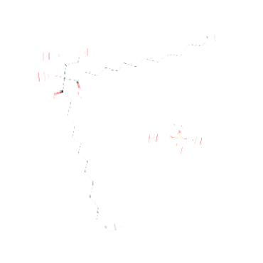 CCCCCCCCCCCCCC(=O)C(O)(C(=O)CCCCCCCCCCCCC)C(O)CO.O=P(O)(O)O